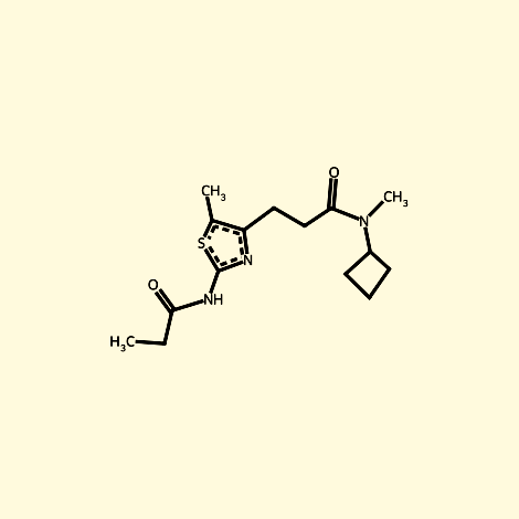 CCC(=O)Nc1nc(CCC(=O)N(C)C2CCC2)c(C)s1